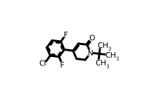 CC(C)(C)N1CCC(c2c(F)ccc(Cl)c2F)=CC1=O